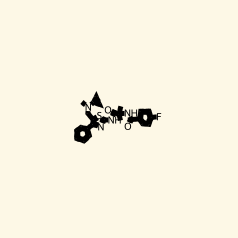 CN(Cc1sc(NC(=O)C(C)(C)NC(=O)c2ccc(F)cc2)nc1-c1ccccc1)C1CC1